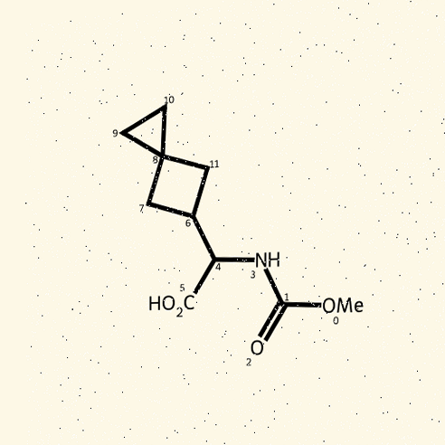 COC(=O)NC(C(=O)O)C1CC2(CC2)C1